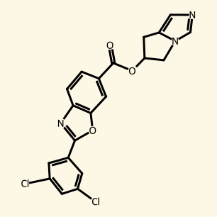 O=C(OC1Cc2cncn2C1)c1ccc2nc(-c3cc(Cl)cc(Cl)c3)oc2c1